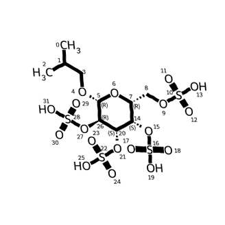 CC(C)CO[C@@H]1O[C@H](COS(=O)(=O)O)[C@H](OS(=O)(=O)O)[C@H](OS(=O)(=O)O)[C@H]1OS(=O)(=O)O